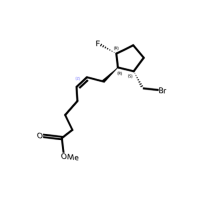 COC(=O)CCC/C=C\C[C@@H]1[C@@H](CBr)CC[C@H]1F